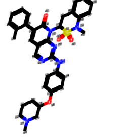 Cc1ccccc1-c1cc2cnc(Nc3ccc(OC4CCCN(C)C4)cc3)nc2n(C2Cc3ccccc3N(C)S2(=O)=O)c1=O